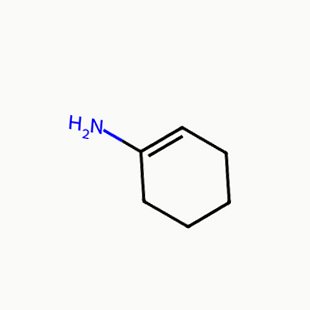 NC1=CCCCC1